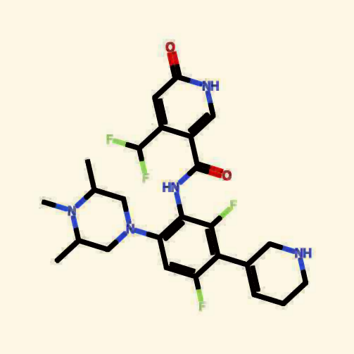 CC1CN(c2cc(F)c(C3=CCCNC3)c(F)c2NC(=O)c2c[nH]c(=O)cc2C(F)F)CC(C)N1C